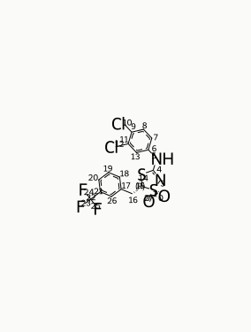 O=S1(=O)N=C(Nc2ccc(Cl)c(Cl)c2)S[C@H]1Cc1cccc(C(F)(F)F)c1